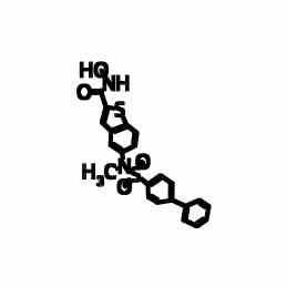 CN(c1ccc2sc(C(=O)NO)cc2c1)S(=O)(=O)c1ccc(-c2ccccc2)cc1